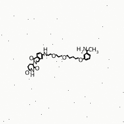 CC(N)c1cccc(OCCCCCOCCCOCCNc2ccc3c(c2)CN(C2CCC(=O)NC2=O)C3=O)c1